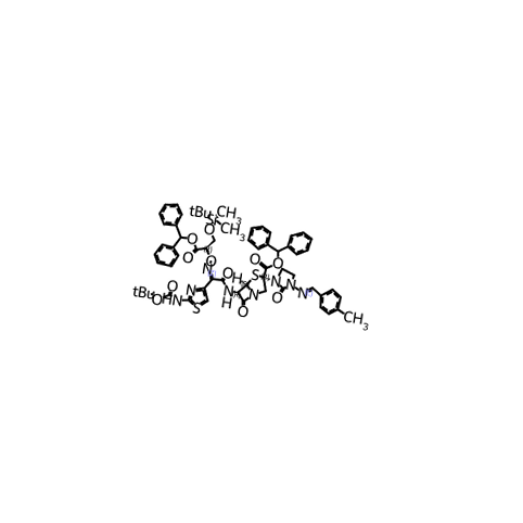 Cc1ccc(/C=N/N2CCN([C@]3(C(=O)OC(c4ccccc4)c4ccccc4)CN4C(=O)[C@@H](NC(=O)/C(=N\O[C@H](CO[Si](C)(C)C(C)(C)C)C(=O)OC(c5ccccc5)c5ccccc5)c5csc(NC(=O)OC(C)(C)C)n5)[C@H]4S3)C2=O)cc1